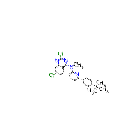 CN(c1cccc(-c2ccc(C(C)(C)C)cc2)n1)c1nc(Cl)nc2cc(Cl)ccc12